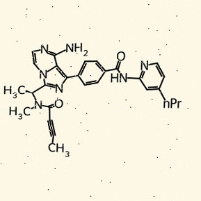 CC#CC(=O)N(C)[C@@H](C)c1nc(-c2ccc(C(=O)Nc3cc(CCC)ccn3)cc2)c2c(N)nccn12